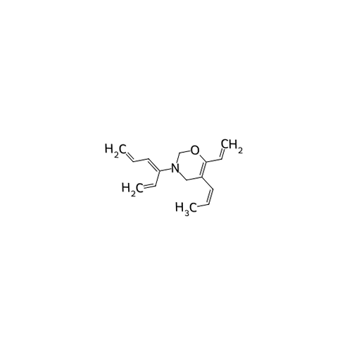 C=C/C=C(\C=C)N1COC(C=C)=C(/C=C\C)C1